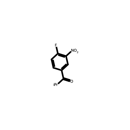 CC(C)C(=O)c1ccc(F)c([N+](=O)[O-])c1